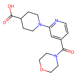 O=C(O)C1CCN(c2cc(C(=O)N3CCOCC3)ccn2)CC1